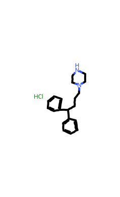 Cl.c1ccc(C(CCCN2CCNCC2)c2ccccc2)cc1